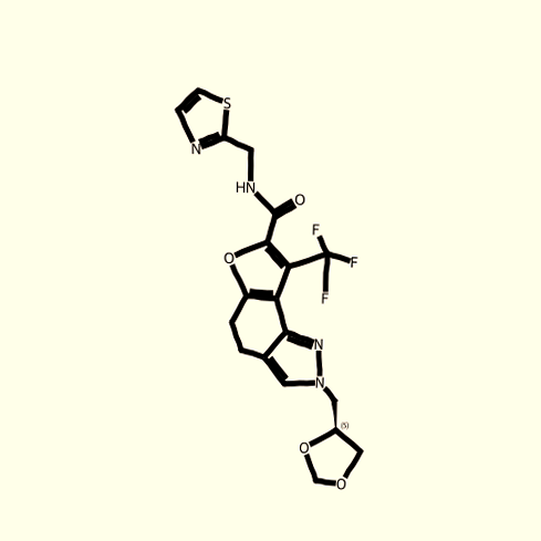 O=C(NCc1nccs1)c1oc2c(c1C(F)(F)F)-c1nn(C[C@H]3COCO3)cc1CC2